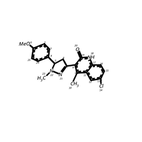 COc1ccc(C2CC(c3c(C)c4cc(Cl)ccc4[nH]c3=O)=NN2C)cc1